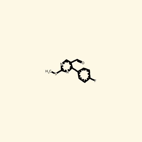 CSc1ncc(C=O)c(-c2ccc(F)cc2)n1